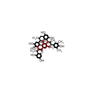 Cc1cc(C2Oc3cc(O)cc(O)c3C(c3c(O)cc(O)c4c3OC(c3cc(O)c(O)c(C)c3-c3c(C5Oc6cc(O)cc(O)c6C(C)C5C)cc(C)c(O)c3O)C(C)C4)C2C)cc(C)c1O